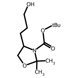 CC(C)(C)OC(=O)N1C(CCCO)COC1(C)C